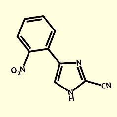 N#Cc1nc(-c2ccccc2[N+](=O)[O-])c[nH]1